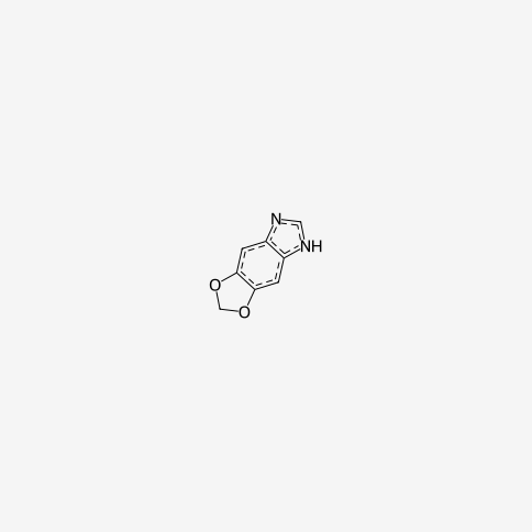 c1nc2cc3c(cc2[nH]1)OCO3